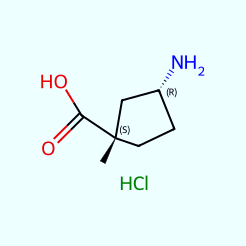 C[C@]1(C(=O)O)CC[C@@H](N)C1.Cl